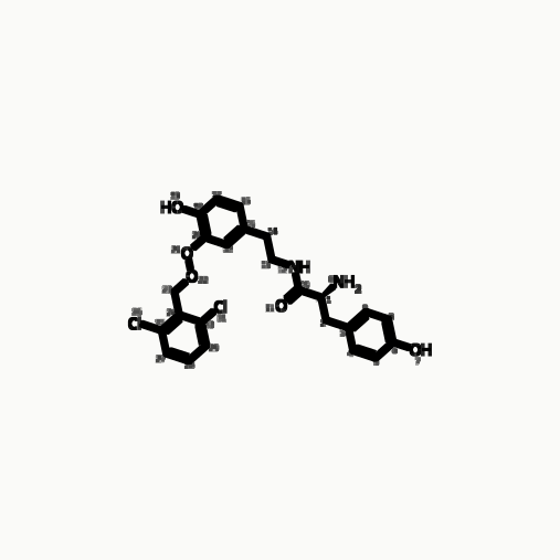 N[C@@H](Cc1ccc(O)cc1)C(=O)NCCc1ccc(O)c(OOCc2c(Cl)cccc2Cl)c1